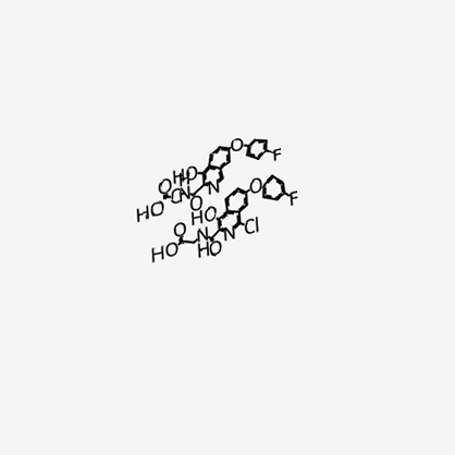 O=C(O)CNC(=O)c1nc(Cl)c2cc(Oc3ccc(F)cc3)ccc2c1O.O=C(O)CNC(=O)c1ncc2cc(Oc3ccc(F)cc3)ccc2c1O